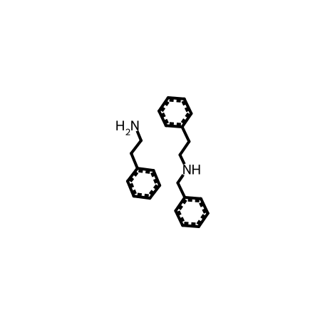 NCCc1ccccc1.c1ccc(CCNCc2ccccc2)cc1